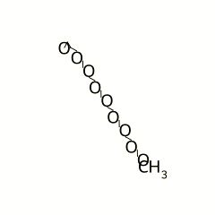 COCCOCCOCCOCCOCCOCCOCCOCC1CO1